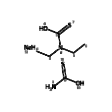 CCN(CC)C(O)=S.NC(O)=S.[NaH]